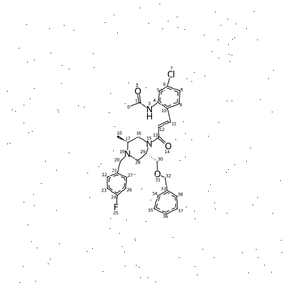 CC(=O)Nc1cc(Cl)ccc1/C=C/C(=O)N1C[C@H](C)N(Cc2ccc(F)cc2)C[C@H]1COCc1ccccc1